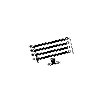 CCCCCCCCCCCCCCCCCCCC(O)=S.CCCCCCCCCCCCCCCCCCCC(O)=S.CCCCCCCCCCCCCCCCCCCC(O)=S.CCCCCCCCCCCCCCCCCCCC(O)=S.OCC(CO)(CO)CO